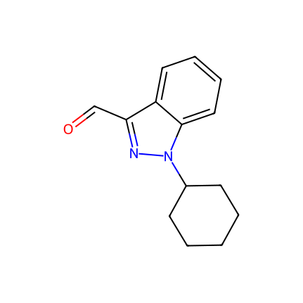 O=Cc1nn(C2CCCCC2)c2ccccc12